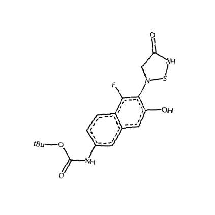 CC(C)(C)OC(=O)Nc1ccc2c(F)c(N3CC(=O)NS3)c(O)cc2c1